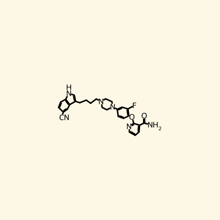 N#Cc1ccc2[nH]cc(CCCCN3CCN(c4ccc(Oc5ncccc5C(N)=O)c(F)c4)CC3)c2c1